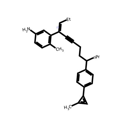 CC/C=C(\C#CCCC(CCC)c1ccc(C2=C=C2C)cc1)c1cc(N)ccc1C